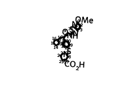 COc1ccc2nc(NC(=O)C(CC3CCCC3)c3ccc(SN4CCCC(C(=O)O)C4)cc3)sc2n1